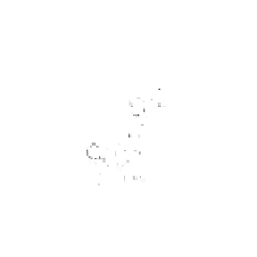 CC1(CN(C(=O)c2ccc(O)cc2N2CCC(CCc3cc(C(CF)C4CC4)ccn3)CC2)c2ccccn2)CC1